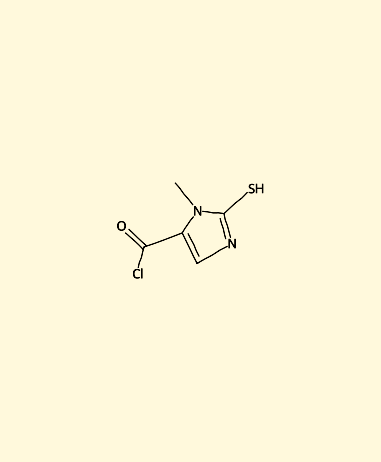 Cn1c(C(=O)Cl)cnc1S